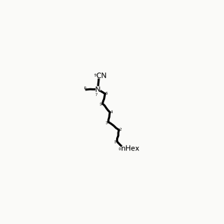 CCCCCCCCCCCCN(C)C#N